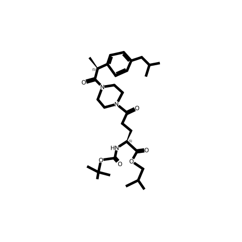 CC(C)COC(=O)[C@H](CCC(=O)N1CCN(C(=O)[C@@H](C)c2ccc(CC(C)C)cc2)CC1)NC(=O)OC(C)(C)C